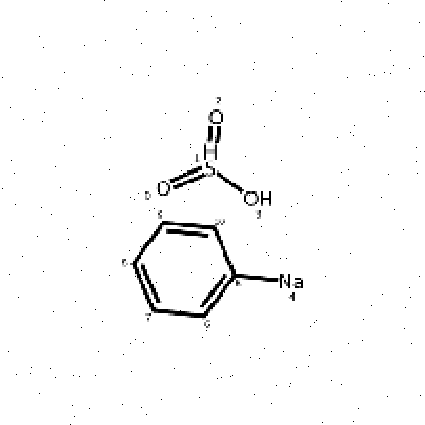 O=[SH](=O)O.[Na][c]1ccccc1